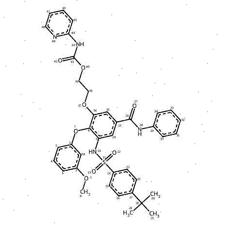 COc1cccc(Oc2c(NS(=O)(=O)c3ccc(C(C)(C)C)cc3)cc(C(=O)Nc3ccccc3)cc2OCCOC(=O)Nc2ccccn2)c1